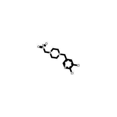 O=[SH](=O)CN1CCN(Cc2cnc(Cl)c(Cl)c2)CC1